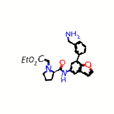 CCOC(=O)CN1CCC[C@@H]1C(=O)Nc1cc(-c2cccc(CN)c2)c2occc2c1